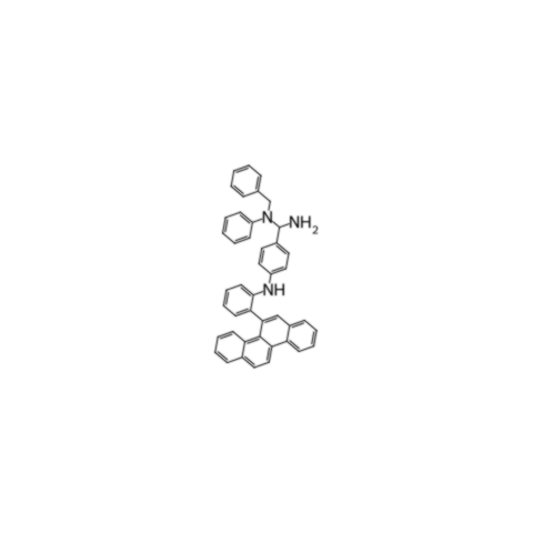 NC(c1ccc(Nc2ccccc2-c2cc3ccccc3c3ccc4ccccc4c23)cc1)N(Cc1ccccc1)c1ccccc1